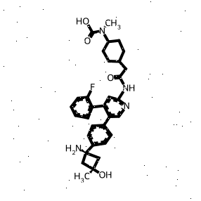 CN(C(=O)O)C1CCC(CC(=O)Nc2cc(-c3ccccc3F)c(-c3ccc([C@]4(N)C[C@](C)(O)C4)cc3)cn2)CC1